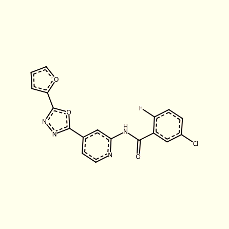 O=C(Nc1cc(-c2nnc(-c3ccco3)o2)ccn1)c1cc(Cl)ccc1F